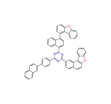 c1ccc2cc(-c3ccc(-c4nc(-c5ccc6ccc7oc8ccccc8c7c6c5)nc(-c5ccc(-c6cccc7oc8ccccc8c67)c6ccccc56)n4)cc3)ccc2c1